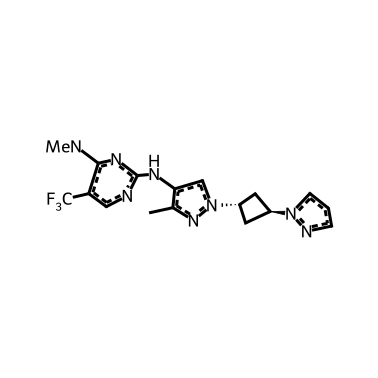 CNc1nc(Nc2cn([C@H]3C[C@H](n4cccn4)C3)nc2C)ncc1C(F)(F)F